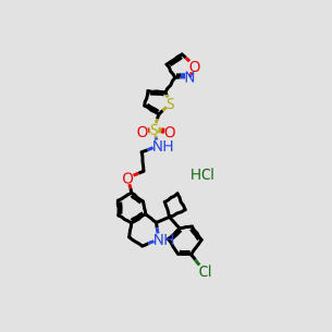 Cl.O=S(=O)(NCCOc1ccc2c(c1)C(C1(c3ccc(Cl)cc3)CCC1)NCC2)c1ccc(-c2ccon2)s1